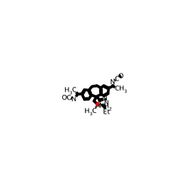 CCc1nnc(C2(C[C@H](C)N)c3ccc(C(C)N=C=O)cc3CCc3cc(C(C)N=C=O)ccc32)o1